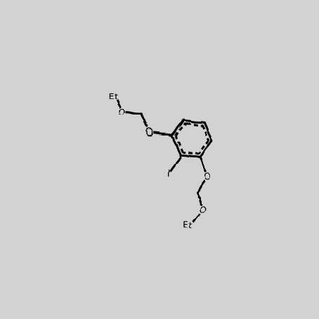 CCOCOc1cccc(OCOCC)c1I